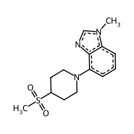 Cn1cnc2c(N3CCC(S(C)(=O)=O)CC3)cccc21